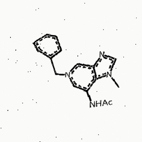 CC(=O)Nc1c[n+](Cc2ccccc2)cc2ncn(C)c12